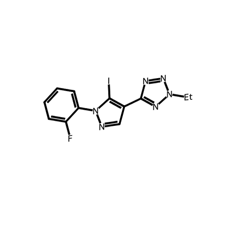 CCn1nnc(-c2cnn(-c3ccccc3F)c2I)n1